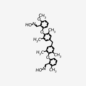 COc1cccc(Oc2c(C)cc(Cc3cc(C)c(Oc4cccc(C)c4/C=N/O)c(C)c3)cc2C)c1/C=N/O